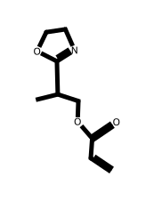 C=CC(=O)OCC(C)C1=NCCO1